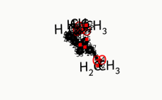 C=C(C)C(=O)OCCCc1ccc(-c2c3ccccc3c(-c3ccc4c(c3)C(CCCOC(=O)C(=C)C)(COC(=O)C(=C)C)c3ccccc3-4)c3ccccc23)cc1